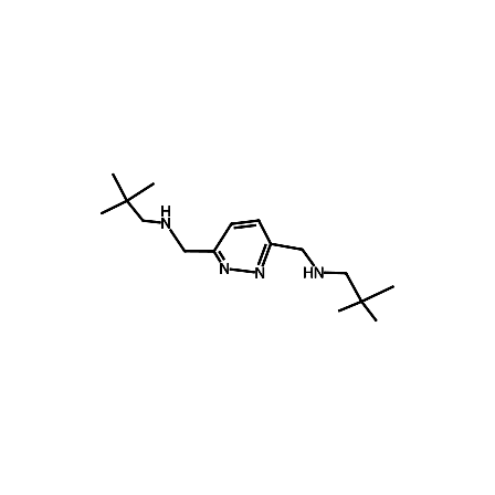 CC(C)(C)CNCc1ccc(CNCC(C)(C)C)nn1